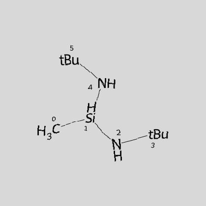 C[SiH](NC(C)(C)C)NC(C)(C)C